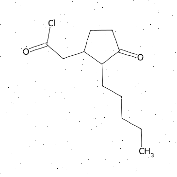 CCCCCC1C(=O)CCC1CC(=O)Cl